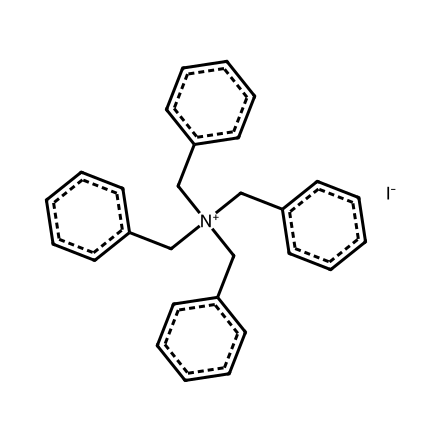 [I-].c1ccc(C[N+](Cc2ccccc2)(Cc2ccccc2)Cc2ccccc2)cc1